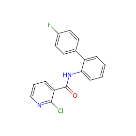 O=C(Nc1ccccc1-c1ccc(F)cc1)c1cccnc1Cl